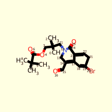 CC(C)(COC(=O)C(C)(C)C)CN1CC(C=O)=C2C=C(Br)CC=C2C1=O